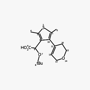 Cc1sc(C)c(C(OC(C)(C)C)C(=O)O)c1C1=CCOCC1